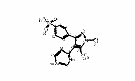 CCn1nc(-c2ccc(S(C)(=O)=O)cc2)c(-c2ccncn2)c1C(F)(F)F